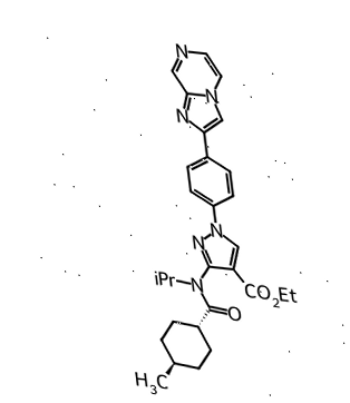 CCOC(=O)c1cn(-c2ccc(-c3cn4ccncc4n3)cc2)nc1N(C(=O)[C@H]1CC[C@H](C)CC1)C(C)C